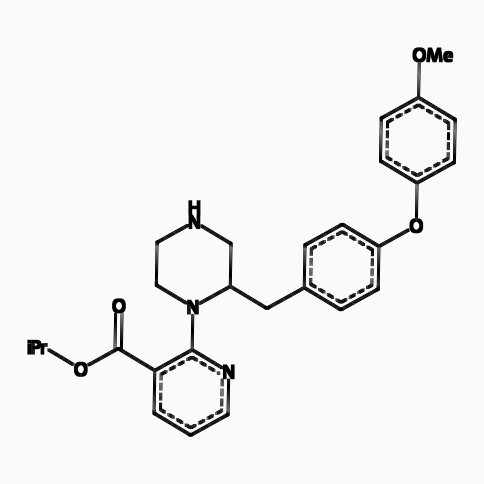 COc1ccc(Oc2ccc(CC3CNCCN3c3ncccc3C(=O)OC(C)C)cc2)cc1